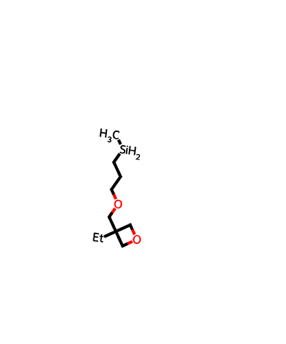 CCC1(COCCC[SiH2]C)COC1